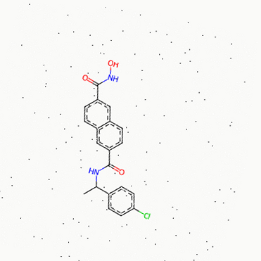 CC(NC(=O)c1ccc2cc(C(=O)NO)ccc2c1)c1ccc(Cl)cc1